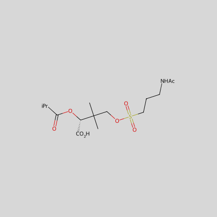 CC(=O)NCCCS(=O)(=O)OCC(C)(C)[C@@H](OC(=O)C(C)C)C(=O)O